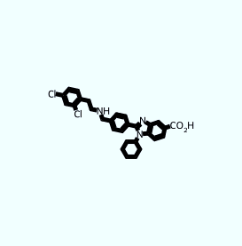 O=C(O)c1ccc2c(c1)nc(-c1ccc(CNCCc3ccc(Cl)cc3Cl)cc1)n2C1CCCCC1